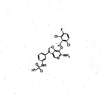 CCCS(=O)(=O)Nc1cccc(-c2coc3c(O[C@H](C)c4c(Cl)ccc(F)c4Cl)c(N)ncc23)c1